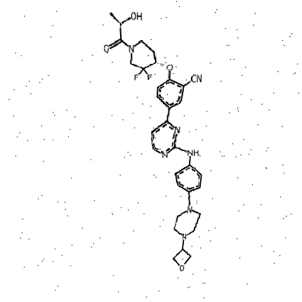 C[C@@H](O)C(=O)N1CC[C@H](Oc2ccc(-c3ccnc(Nc4ccc(N5CCN(C6COC6)CC5)cc4)n3)cc2C#N)C(F)(F)C1